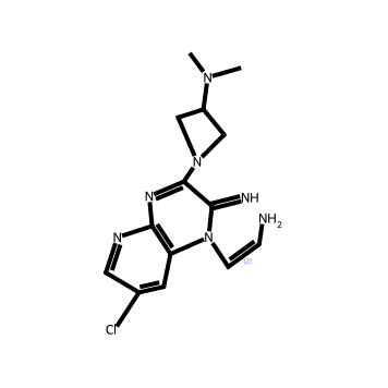 CN(C)C1CN(c2nc3ncc(Cl)cc3n(/C=C\N)c2=N)C1